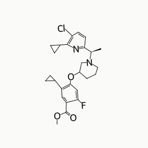 COC(=O)c1cc(C2CC2)c(OC2CCCN([C@H](C)c3ccc(Cl)c(C4CC4)n3)C2)cc1F